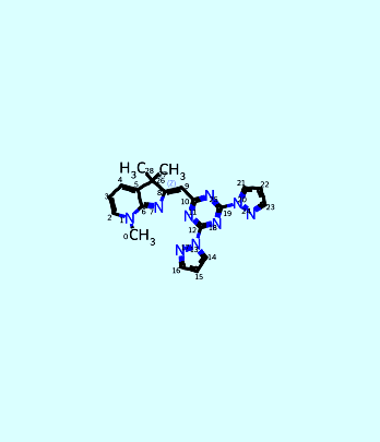 CN1C=CC=C2C1=N/C(=C\c1nc(-n3cccn3)nc(-n3cccn3)n1)C2(C)C